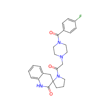 O=C(c1ccc(F)cc1)N1CCN(CC(=O)N2CCCC23Cc2ccccc2NC3=O)CC1